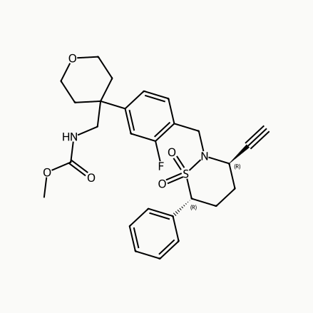 C#C[C@H]1CC[C@H](c2ccccc2)S(=O)(=O)N1Cc1ccc(C2(CNC(=O)OC)CCOCC2)cc1F